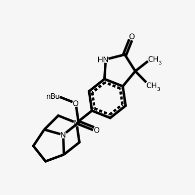 CCCCOC(=O)N1C2CCC1CN(c1ccc3c(c1)NC(=O)C3(C)C)C2